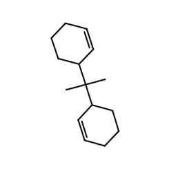 CC(C)(C1C=CCCC1)C1C=CCCC1